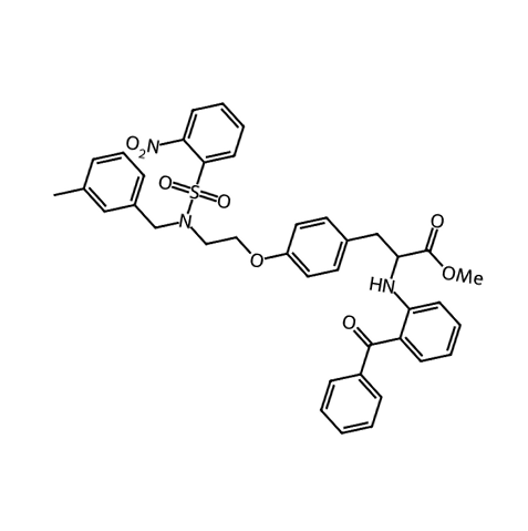 COC(=O)C(Cc1ccc(OCCN(Cc2cccc(C)c2)S(=O)(=O)c2ccccc2[N+](=O)[O-])cc1)Nc1ccccc1C(=O)c1ccccc1